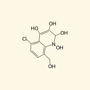 OCc1ccc(Cl)c2c1N(O)C(O)C(O)=C2O